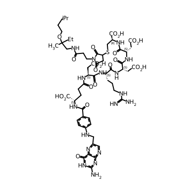 CCC(C)(CNC(=O)CCN1C(=O)CC(SC[C@H](NC(=O)[C@H](CC(=O)O)NC(=O)[C@H](CC(=O)O)NC(=O)[C@H](CCCNC(=N)N)NC(=O)[C@H](CC(=O)O)NC(=O)CC[C@H](NC(=O)c2ccc(NCc3cnc4nc(N)[nH]c(=O)c4n3)cc2)C(=O)O)C(=O)O)C1=O)OCCC(C)C